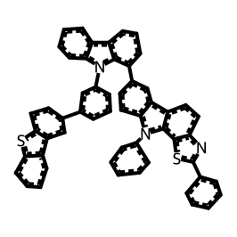 c1ccc(-c2nc3ccc4c5cc(-c6cccc7c8ccccc8n(-c8cccc(-c9ccc%10sc%11ccccc%11c%10c9)c8)c67)ccc5n(-c5ccccc5)c4c3s2)cc1